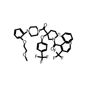 COCCOc1ccccc1N1CCN(C(=O)C2(Oc3ccc(C(F)(F)F)cc3)CC[C@H](c3ccccc3)N(C(=O)c3cnccc3C(F)(F)F)C2)CC1